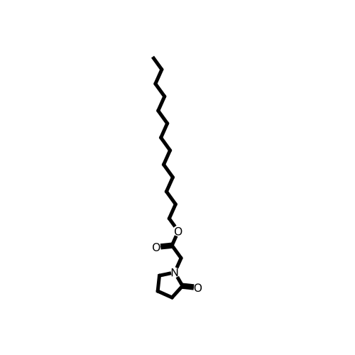 CCCCCCCCCCCCCOC(=O)CN1CCCC1=O